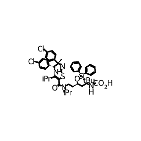 CC(C)C1=C(C(=O)N(CC[C@H](CCNC(=O)O)O[Si](c2ccccc2)(c2ccccc2)C(C)(C)C)C(C)C)SC2=N[C@@](C)(c3ccc(Cl)cc3)[C@@H](c3ccc(Cl)cc3)N21